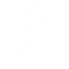 CCN1c2ccccc2N(C2CCN(c3nnc(C)n3-c3ccc(Cl)cc3)CC2)S1(=O)=O